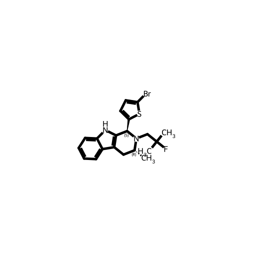 C[C@@H]1Cc2c([nH]c3ccccc23)[C@@H](c2ccc(Br)s2)N1CC(C)(C)F